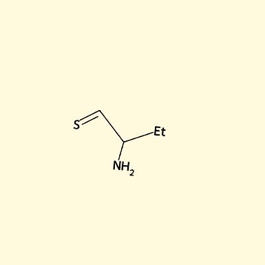 CCC(N)C=S